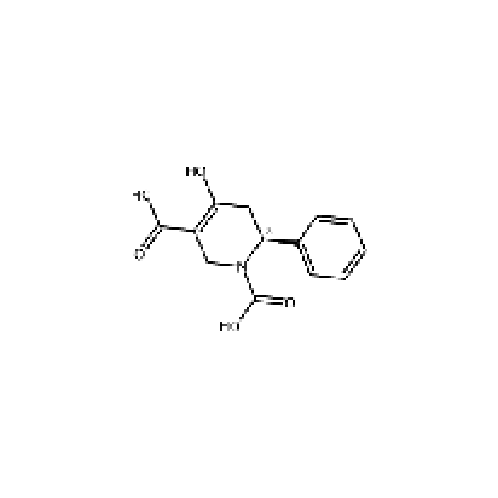 O=C(O)C1=C(O)C[C@@H](c2ccccc2)N(C(=O)O)C1